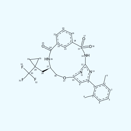 Cc1cccc(C)c1-c1cc2nc(n1)NS(=O)(=O)c1cccc(c1)C(=O)N[C@H](CC1(C(F)(F)F)CC1)CO2